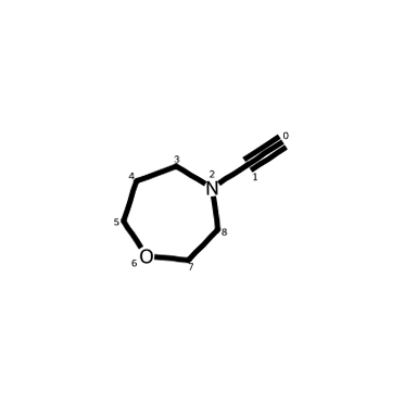 C#CN1CCCOCC1